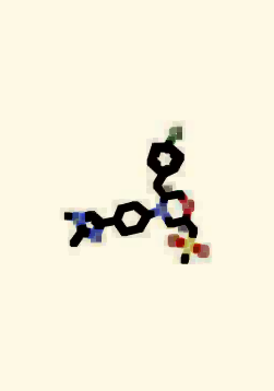 Cc1nc(C2CCC(N3C[C@H](CS(C)(=O)=O)OC[C@@H]3Cc3ccc(Cl)cc3)CC2)cn1C